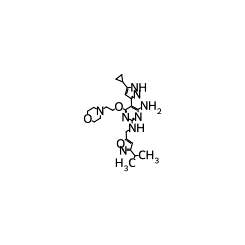 CC(C)c1cc(CNc2nc(N)c(-c3cc(C4CC4)[nH]n3)c(OCCN3CCOCC3)n2)on1